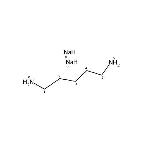 NCCCCCN.[NaH].[NaH]